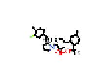 CC[C@@H](OC[C@H](O)CN1CCC[C@H]1Cc1ccc(C)c(F)c1)c1ccc(C)cc1CCC(=O)O